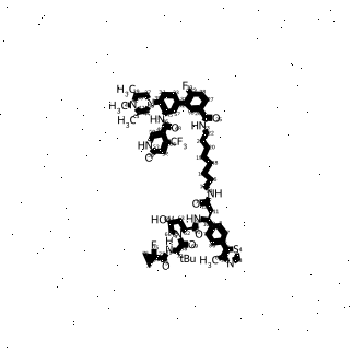 Cc1ncsc1-c1ccc([C@H](CC(=O)NCCCCCCCCNC(=O)c2ccc(F)c(-c3ccc(N4C[C@@H](C)N(C)[C@@H](C)C4)c(NC(=O)c4c[nH]c(=O)cc4C(F)(F)F)c3)c2)NC(=O)[C@@H]2C[C@@H](O)CN2C(=O)[C@@H](NC(=O)C2(F)CC2)C(C)(C)C)cc1